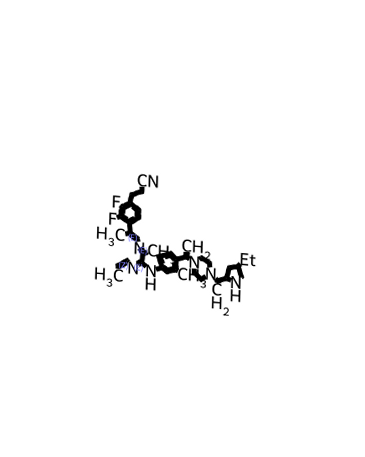 C=C(c1ccc(NC(=N/C=C\C)/C(C)=N/C=C(\C)c2ccc(CCC#N)c(F)c2F)cc1C)N1CCN(C(=C)C2CC(CC)CN2)CC1